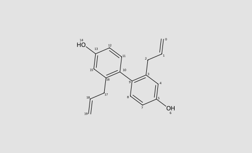 C=CCc1cc(O)ccc1-c1ccc(O)cc1CC=C